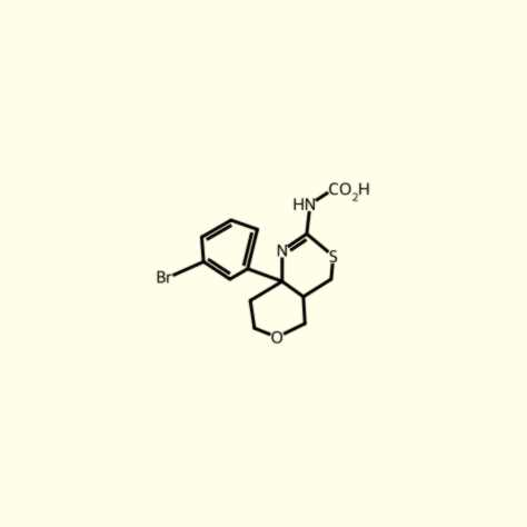 O=C(O)NC1=NC2(c3cccc(Br)c3)CCOCC2CS1